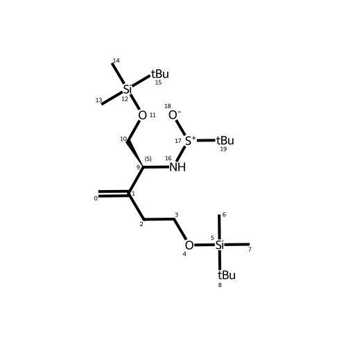 C=C(CCO[Si](C)(C)C(C)(C)C)[C@@H](CO[Si](C)(C)C(C)(C)C)N[S+]([O-])C(C)(C)C